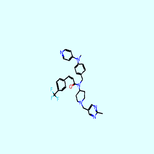 Cc1ncc(CN2CCC(N(Cc3ccc(N(C)c4ccncc4)cc3)C(=O)C=Cc3ccc(C(F)(F)F)cc3)CC2)cn1